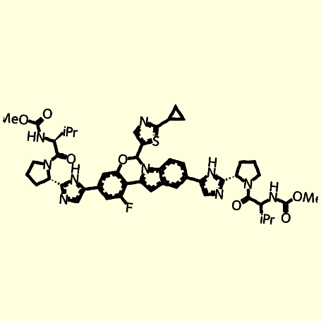 COC(=O)NC(C(=O)N1CCC[C@H]1c1ncc(-c2ccc3c(c2)cc2n3C(c3cnc(C4CC4)s3)Oc3cc(-c4cnc([C@@H]5CCCN5C(=O)[C@@H](NC(=O)OC)C(C)C)[nH]4)cc(F)c3-2)[nH]1)C(C)C